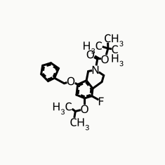 CC(C)Oc1cc(OCc2ccccc2)c2c(c1F)CCN(C(=O)OC(C)(C)C)C2